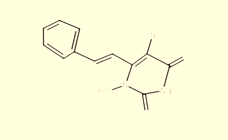 CCCn1c(/C=C/c2ccccc2)c([N+](=O)[O-])c(=O)[nH]c1=O